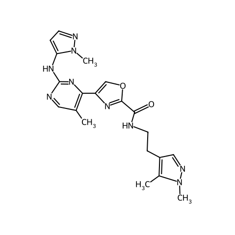 Cc1cnc(Nc2ccnn2C)nc1-c1coc(C(=O)NCCc2cnn(C)c2C)n1